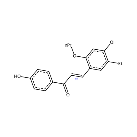 CCCOc1cc(O)c(CC)cc1/C=C/C(=O)c1ccc(O)cc1